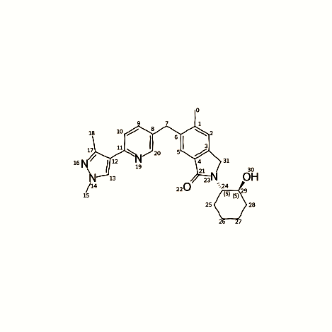 Cc1cc2c(cc1Cc1ccc(-c3cn(C)nc3C)nc1)C(=O)N([C@H]1CCCC[C@@H]1O)C2